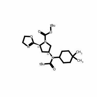 CC1(C)CCC(N(C(=O)C(C)(C)C)[C@H]2C[C@@H](C3=NCCO3)N(C(=O)OC(C)(C)C)C2)CC1